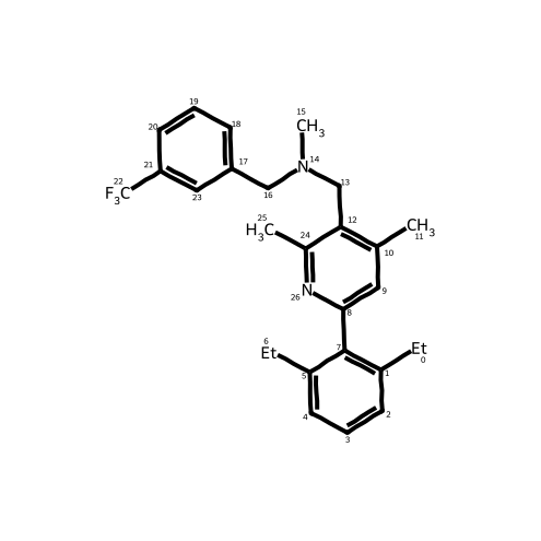 CCc1cccc(CC)c1-c1cc(C)c(CN(C)Cc2cccc(C(F)(F)F)c2)c(C)n1